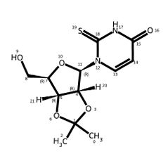 CC1(C)O[C@@H]2[C@H](O1)[C@@H](CO)O[C@H]2n1ccc(=O)[nH]c1=S